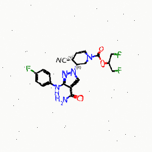 N#C[C@H]1CCN(C(=O)OC(CF)CF)C[C@@H]1n1cc(C(N)=O)c(Nc2ccc(F)cc2)n1